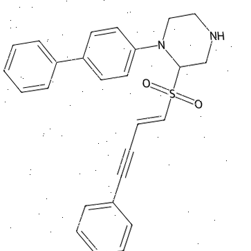 O=S(=O)(C=CC#Cc1ccccc1)C1CNCCN1c1ccc(-c2ccccc2)cc1